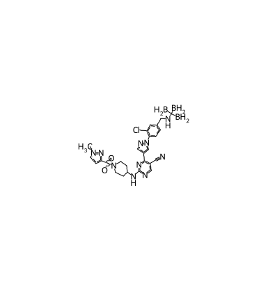 BC(B)(B)NCc1ccc(-n2cc(-c3nc(NC4CCN(S(=O)(=O)c5ccn(C)n5)CC4)ncc3C#N)cn2)c(Cl)c1